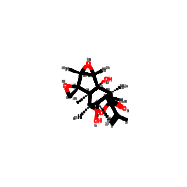 C=C(C)[C@@H]1[C@@H](O)[C@H]2OC(=O)[C@@H]1[C@]1(O)[C@H]3O[C@H]3[C@]3(CO3)[C@]21C